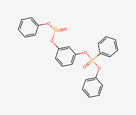 O=[PH](Oc1ccccc1)Oc1cccc(OP(=O)(Oc2ccccc2)c2ccccc2)c1